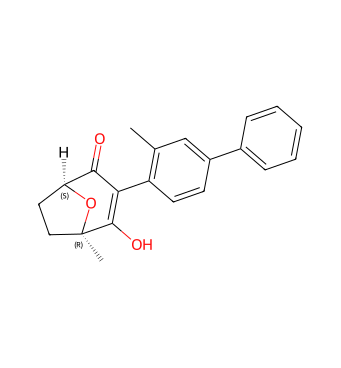 Cc1cc(-c2ccccc2)ccc1C1=C(O)[C@@]2(C)CC[C@H](O2)C1=O